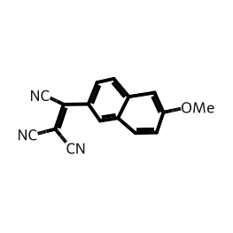 COc1ccc2cc(C(C#N)=C(C#N)C#N)ccc2c1